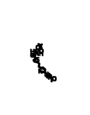 CC(=O)N1CCN(c2ccc(CCc3ccc(C(=O)NNC(=O)OC(C)(C)C)s3)nc2)CC1